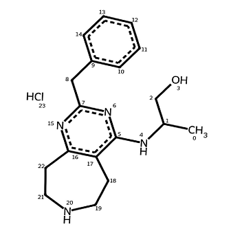 CC(CO)Nc1nc(Cc2ccccc2)nc2c1CCNCC2.Cl